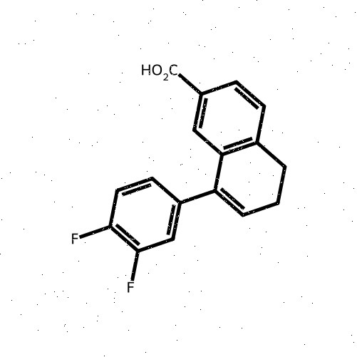 O=C(O)c1ccc2c(c1)C(c1ccc(F)c(F)c1)=CCC2